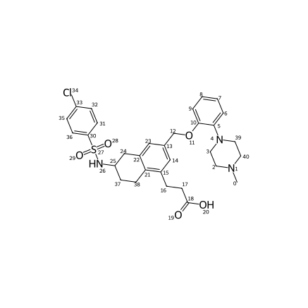 CN1CCN(c2ccccc2OCc2cc(CCC(=O)O)c3c(c2)CC(NS(=O)(=O)c2ccc(Cl)cc2)CC3)CC1